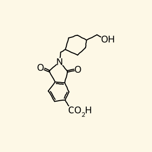 O=C(O)c1ccc2c(c1)C(=O)N(CC1CCC(CO)CC1)C2=O